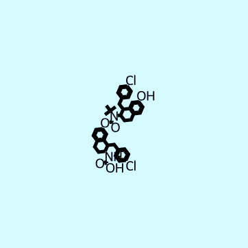 CC(C)(C)N(C(=O)Oc1ccc2c(c1)C(Cc1ccc(Cl)cc1)C(NC(=O)O)CC2)C1CCc2ccc(O)cc2C1Cc1ccc(Cl)cc1